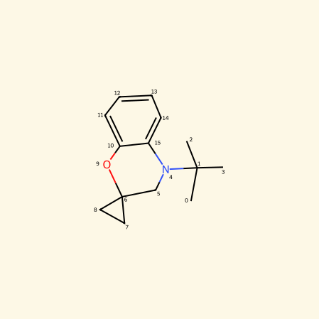 CC(C)(C)N1CC2(CC2)Oc2ccccc21